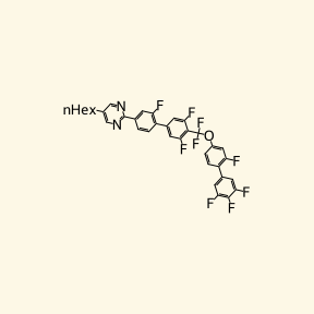 CCCCCCc1cnc(-c2ccc(-c3cc(F)c(C(F)(F)Oc4ccc(-c5cc(F)c(F)c(F)c5)c(F)c4)c(F)c3)c(F)c2)nc1